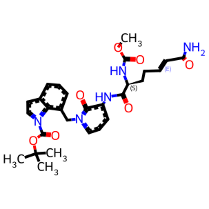 COC(=O)N[C@@H](CC/C=C/C(N)=O)C(=O)Nc1cccn(Cc2cccc3ccn(C(=O)OC(C)(C)C)c23)c1=O